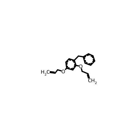 C=CCOc1ccc(Cc2ccccc2)c(OCC=C)c1